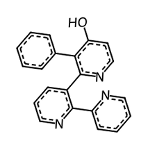 Oc1ccnc(-c2cccnc2-c2ccccn2)c1-c1ccccc1